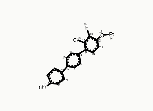 CCCc1ccc(-c2ccc(-c3ccc(OCC)c(F)c3Cl)cc2)cc1